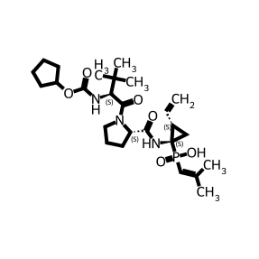 C=C[C@@H]1C[C@]1(NC(=O)[C@@H]1CCCN1C(=O)[C@@H](NC(=O)OC1CCCC1)C(C)(C)C)P(=O)(O)C=C(C)C